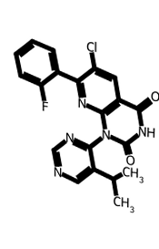 CC(C)c1cncnc1-n1c(=O)[nH]c(=O)c2cc(Cl)c(-c3ccccc3F)nc21